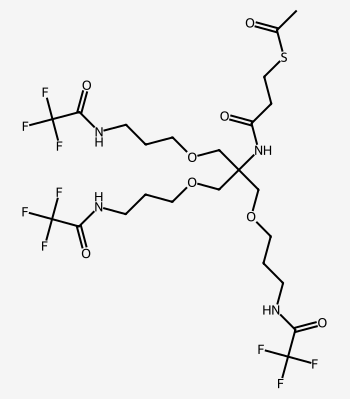 CC(=O)SCCC(=O)NC(COCCCNC(=O)C(F)(F)F)(COCCCNC(=O)C(F)(F)F)COCCCNC(=O)C(F)(F)F